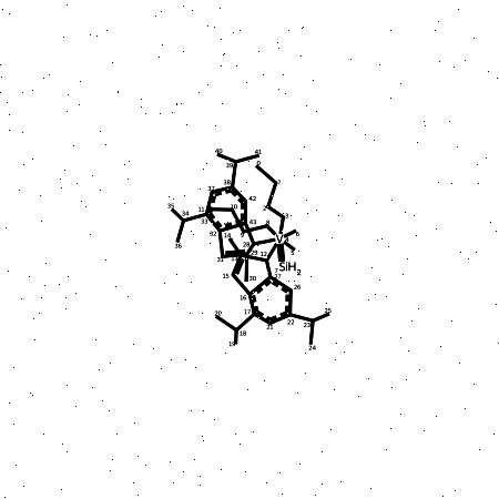 CCC[CH2][V]([CH3])([CH3])(=[SiH2])([CH2]CCC)([CH]1C(C)=Cc2c(C(C)C)cc(C(C)C)cc21)[CH]1C(C)=Cc2c(C(C)C)cc(C(C)C)cc21